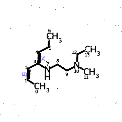 C/C=C\C(=C\CC)NCCN(C)CC